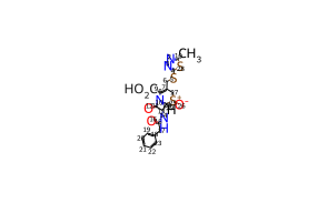 Cc1nnc(SCC2=C(C(=O)O)N3C(=O)C(NC(=O)Cc4ccccc4)[C@@H]3[S+]([O-])C2)s1